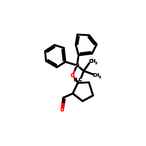 CC(C)(C)[Si](OC1CCCC1C=O)(c1ccccc1)c1ccccc1